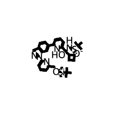 CC(C)(C)[S@@+]([O-])N[C@](O)(c1cccc(-c2ccc3cnn(-c4cccc(CO[Si](C)(C)C(C)(C)C)n4)c3c2)n1)C1CCC1